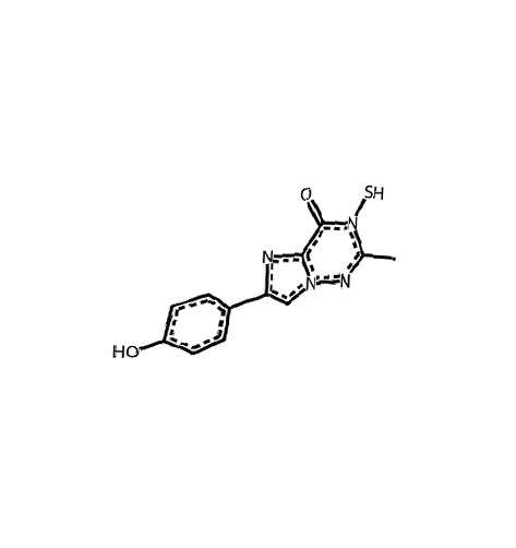 Cc1nn2cc(-c3ccc(O)cc3)nc2c(=O)n1S